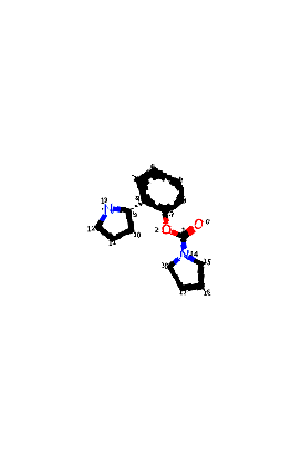 O=C(Oc1ccccc1[C@@H]1CCC[N]1)N1CCCC1